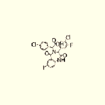 O=C(O)C(c1ccc(Cl)cc1)N1C(=O)c2cc(I)ccc2NC(=O)C1c1ccc(Cl)c(F)c1